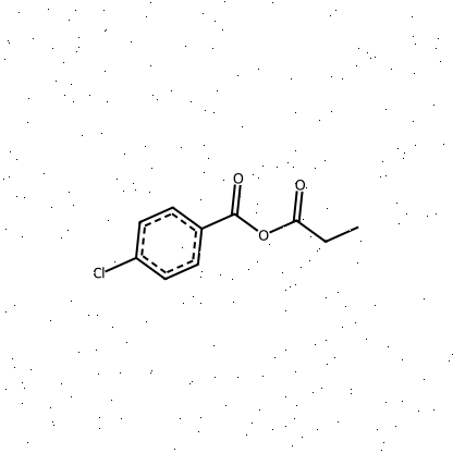 CCC(=O)OC(=O)c1ccc(Cl)cc1